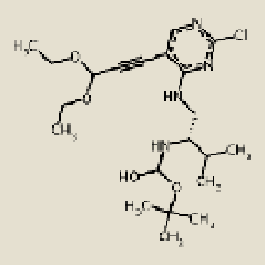 CCOC(C#Cc1cnc(Cl)nc1NC[C@@H](NC(O)OC(C)(C)C)C(C)C)OCC